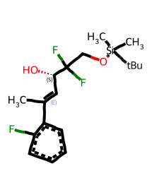 C/C(=C\[C@H](O)C(F)(F)CO[Si](C)(C)C(C)(C)C)c1ccccc1F